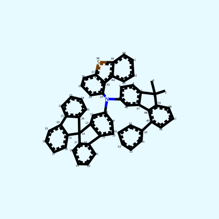 CC1(C)c2ccc(N(c3ccc4c(c3)C3(c5ccccc5-c5ccccc53)c3ccccc3-4)c3cccc4sc5ccccc5c34)cc2-c2c(-c3ccccc3)cccc21